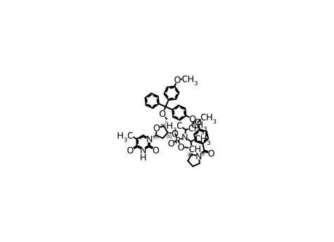 COc1ccc(C(=O)N2CCC[C@@H]2COP(=O)(O[C@H]2C[C@H](n3cc(C)c(=O)[nH]c3=O)O[C@@H]2COC(c2ccccc2)(c2ccc(OC)cc2)c2ccc(OC)cc2)N(C(C)C)C(C)C)cc1